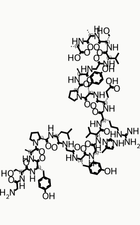 CC(C)C[C@H](NC(=O)[C@@H]1CCCN1C(=O)[C@H](C)NC(=O)[C@H](Cc1ccc(O)cc1)NC(=O)[C@H](CO)NC(=O)CN)C(=O)NCC(=O)N[C@@H](Cc1ccc(O)cc1)C(=O)N[C@@H](Cc1c[nH]cn1)C(=O)N[C@H](C(=O)N[C@@H](CCCNC(=N)N)C(=O)N[C@@H](CCC(=O)O)C(=O)N[C@@H](Cc1ccc(O)cc1)C(=O)N1CCC[C@H]1C(=O)N[C@@H](C)C(=O)NCC(=O)N[C@H](C(=O)N[C@@H](CO)C(=O)N[C@@H](C)C(=O)N[C@@H](C)C(=O)O)C(C)C)C(C)C